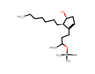 CCCCCC(CCC1=CC[C@H](O)[C@@H]1CCCCCCC(=O)O)O[Si](C)(C)C(C)(C)C